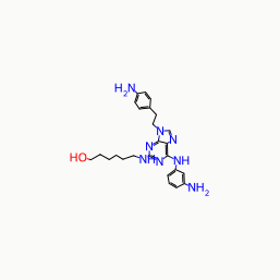 Nc1ccc(CCn2cnc3c(Nc4cccc(N)c4)nc(NCCCCCCO)nc32)cc1